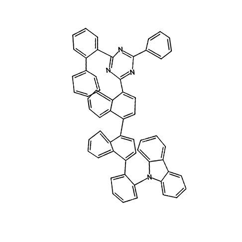 c1ccc(-c2nc(-c3ccccc3-c3ccccc3)nc(-c3ccc(-c4ccc(-c5ccccc5-n5c6ccccc6c6ccccc65)c5ccccc45)c4ccccc34)n2)cc1